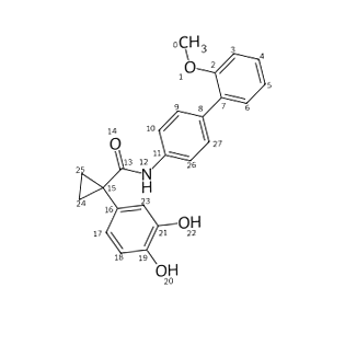 COc1ccccc1-c1ccc(NC(=O)C2(c3ccc(O)c(O)c3)CC2)cc1